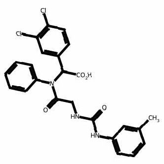 Cc1cccc(NC(=O)NCC(=O)N(c2ccccc2)C(C(=O)O)c2ccc(Cl)c(Cl)c2)c1